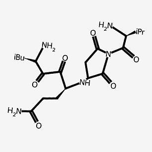 CC[C@H](C)C(N)C(=O)C(=O)[C@H](CCC(N)=O)NC1CC(=O)N(C(=O)[C@@H](N)C(C)C)C1=O